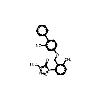 Cc1cccc(-n2nnn(C)c2=O)c1COc1ccc(-c2ccccc2)c(C#N)c1